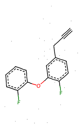 C#CCc1ccc(F)c(Oc2ccccc2F)c1